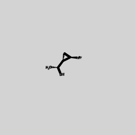 CCC[C@@H]1C[C@H]1[C@@H](C)O